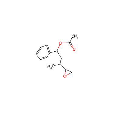 CC(=O)OC(CC(C)C1CO1)c1ccccc1